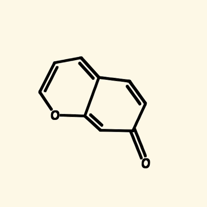 O=c1ccc2cccoc-2c1